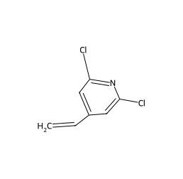 C=Cc1cc(Cl)nc(Cl)c1